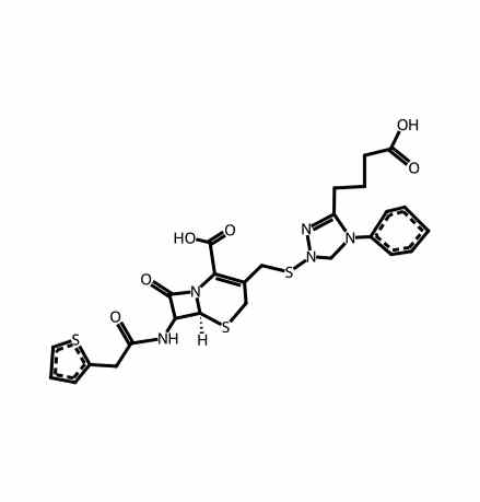 O=C(O)CCCC1=NN(SCC2=C(C(=O)O)N3C(=O)C(NC(=O)Cc4cccs4)[C@@H]3SC2)CN1c1ccccc1